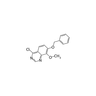 COc1c(OCc2ccccc2)ccc2c(Cl)ncnc12